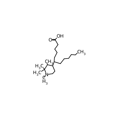 CCCCCCC(CCCCC(=O)O)C1CCN(C)C(C)(C)C1C